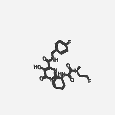 CN(CCF)C(=O)C(=O)NC12CCC(CC1)Cn1c2nc(C(=O)NCc2ccc(F)cc2)c(O)c1=O